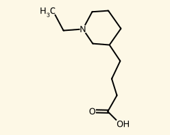 CCN1CCCC(CCCC(=O)O)C1